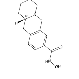 O=C(NO)c1ccc2c(c1)CN1CCCC[C@H]1C2